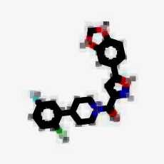 O=C(c1cc(-c2ccc3c(c2)OCO3)on1)N1CCC(c2cc(F)ccc2Cl)CC1